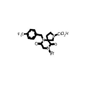 CC(C)N1CC(=O)N(Cc2ccc(C(F)(F)F)cc2)C2(CCN(C(=O)O)C2)C1=O